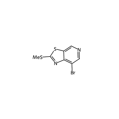 CSc1nc2c(Br)cncc2s1